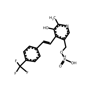 Cc1ncc(CO[PH](=O)O)c(C=Cc2ccc(C(F)(F)F)cc2)c1O